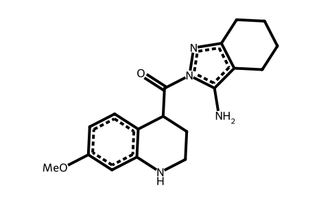 COc1ccc2c(c1)NCCC2C(=O)n1nc2c(c1N)CCCC2